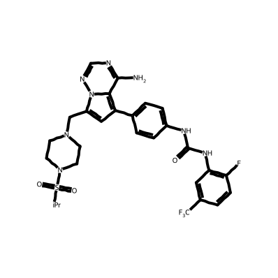 CC(C)S(=O)(=O)N1CCN(Cc2cc(-c3ccc(NC(=O)Nc4cc(C(F)(F)F)ccc4F)cc3)c3c(N)ncnn23)CC1